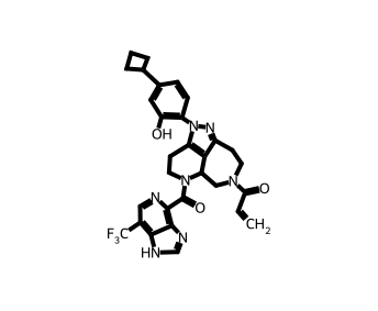 C=CC(=O)N1CCc2nn(-c3ccc(C4CCC4)cc3O)c3c2C(C1)N(C(=O)c1ncc(C(F)(F)F)c2[nH]cnc12)CC3